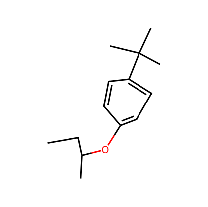 CCC(C)Oc1ccc(C(C)(C)C)cc1